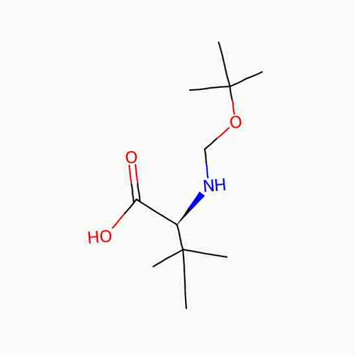 CC(C)(C)OCN[C@H](C(=O)O)C(C)(C)C